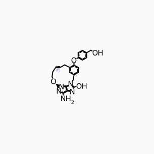 Nc1nc2nc3c1nc(O)n3Cc1ccc(Oc3ccc(CO)cc3)c(c1)C/C=C/CCO2